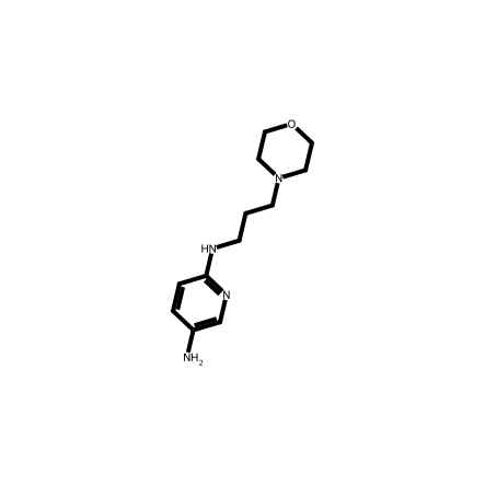 Nc1ccc(NCCCN2CCOCC2)nc1